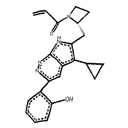 C=CC(=O)N1CC[C@@H]1Cc1[nH]c2nnc(-c3ccccc3O)cc2c1C1CC1